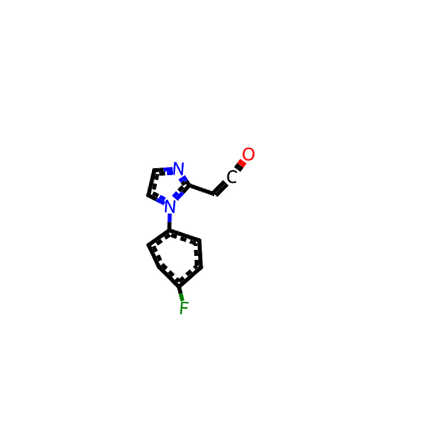 O=C=Cc1nccn1-c1ccc(F)cc1